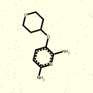 Nc1ccc(OC2CCOCC2)c(N)n1